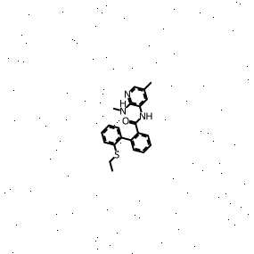 CCSc1ccccc1-c1ccccc1C(=O)Nc1cc(C)cnc1NC